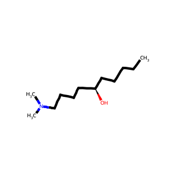 CCCCC[C@@H](O)CCCCN(C)C